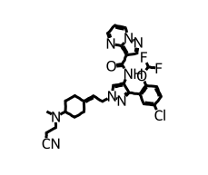 CN(CCC#N)C1CCC(=CCn2cc(NC(=O)c3cnn4cccnc34)c(-c3cc(Cl)ccc3OC(F)F)n2)CC1